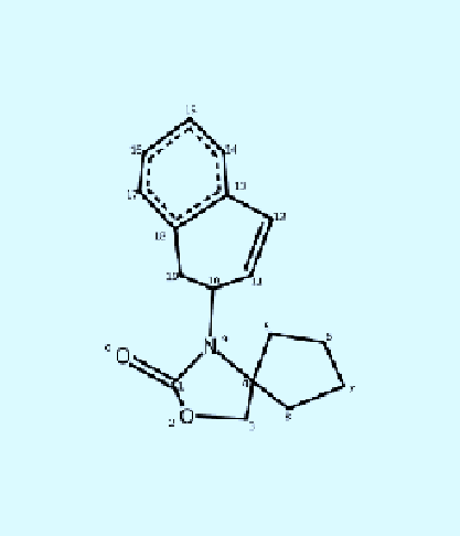 O=C1OCC2(CCCC2)N1C1C=Cc2ccccc2C1